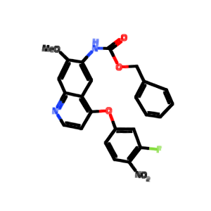 COc1cc2nccc(Oc3ccc([N+](=O)[O-])c(F)c3)c2cc1NC(=O)OCc1ccccc1